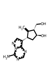 C=C1[C@@H](c2cnn3c(N)ncnc23)C[C@H](O)[C@H]1CO